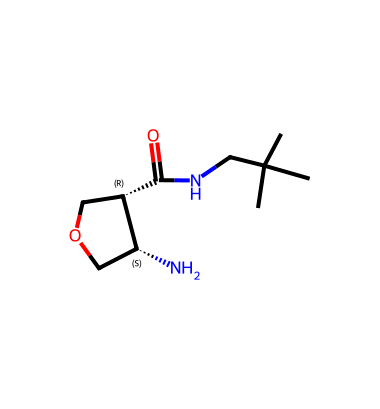 CC(C)(C)CNC(=O)[C@H]1COC[C@H]1N